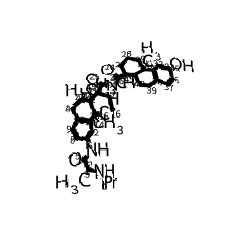 CC(C)N[C@@H](C)C(=O)Nc1ccc2c(c1)[C@@]1(C)CCC[C@](C)(C(=O)NC(=O)[C@@]3(C)CCC[C@]4(C)c5cc(O)ccc5CC[C@@H]34)[C@@H]1CC2